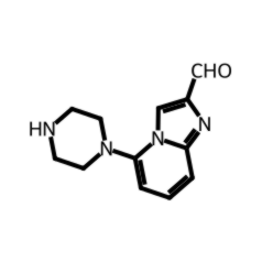 O=Cc1cn2c(N3CCNCC3)cccc2n1